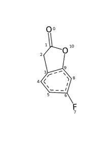 O=C1Cc2ccc(F)cc2O1